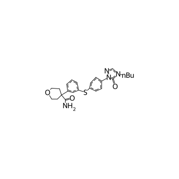 CCCCn1cnn(-c2ccc(Sc3cccc(C4(C(N)=O)CCOCC4)c3)cc2)c1=O